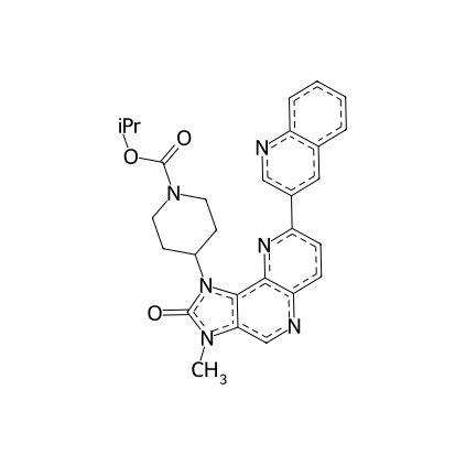 CC(C)OC(=O)N1CCC(n2c(=O)n(C)c3cnc4ccc(-c5cnc6ccccc6c5)nc4c32)CC1